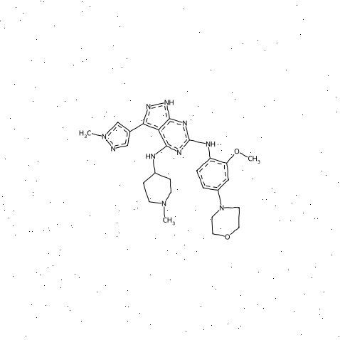 COc1cc(N2CCOCC2)ccc1Nc1nc(NC2CCN(C)CC2)c2c(-c3cnn(C)c3)n[nH]c2n1